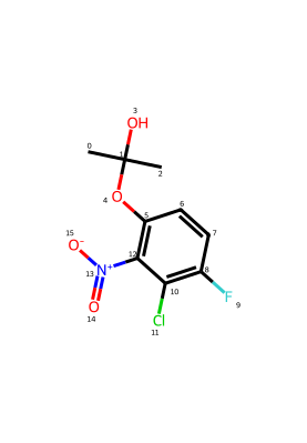 CC(C)(O)Oc1ccc(F)c(Cl)c1[N+](=O)[O-]